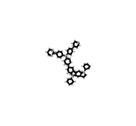 c1ccc(-n2ccc3cc4c(cc32)c2cc(-c3ccc(N(c5ccc(-c6ccncc6)cc5)c5ccc(-c6ncccn6)cc5)cc3)ccc2n4-c2ccccc2)cc1